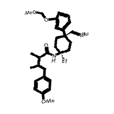 CCC(C)C[C@]1(c2cccc(OCOC)c2)CC[C@](CC)(NC(=O)C(C)C(C)Cc2ccc(OC)cc2)CC1